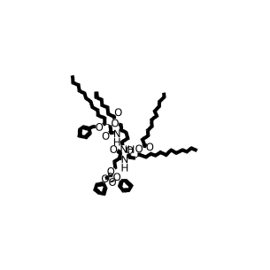 C=CCCCCC(=O)OCC(CCCNC(=O)C(CCOP(=O)(Oc1ccccc1)Oc1ccccc1)NC(=O)C[C@@H](CCCCCCCCCCC)OC(=O)CCCCCCCCCCC)NC(=O)C[C@@H](CCCCCCCCCCC)OCc1ccccc1